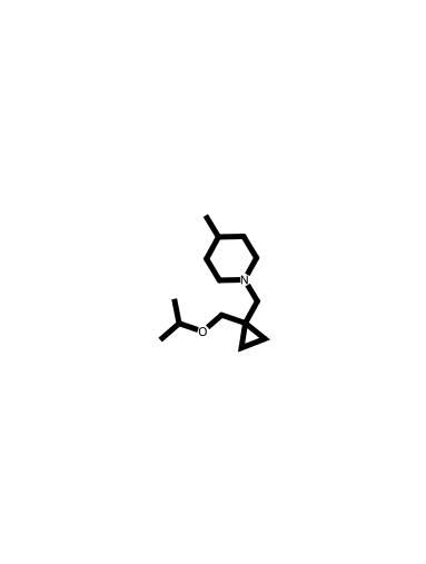 CC1CCN(CC2(COC(C)C)CC2)CC1